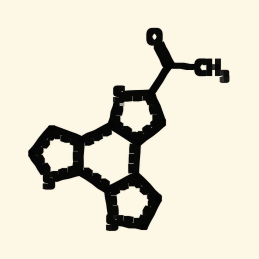 CC(=O)c1cc2c3ccsc3c3sccc3c2s1